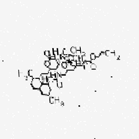 C=CCOC(=O)CCCCCCNC(=O)O[C@H]1C[C@@H](C)C=C2C=C[C@H](C)[C@H](CC[C@@H]3C[C@@H](O[Si](C)(C)C(C)(C)C)CC(=O)O3)[C@H]21